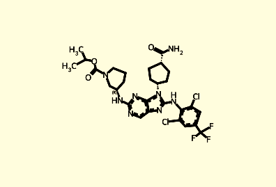 CC(C)OC(=O)N1CCC[C@@H](Nc2ncc3nc(Nc4c(Cl)cc(C(F)(F)F)cc4Cl)n([C@H]4CC[C@@H](C(N)=O)CC4)c3n2)C1